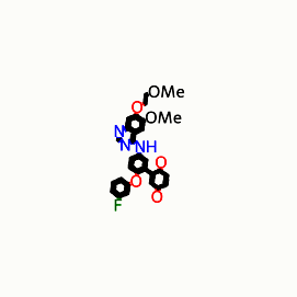 COCCOc1cc2ncnc(Nc3ccc(Oc4cccc(F)c4)c(C4=CC(=O)C=CC4=O)c3)c2cc1OC